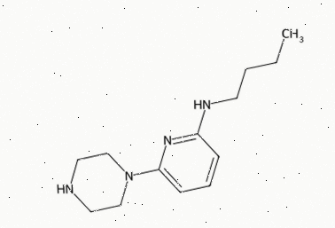 CCCCNc1cccc(N2CCNCC2)n1